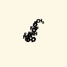 CCN1CCN(c2c(F)cc(Nc3ncc(C(F)(F)F)c(N4OCCC4c4ccccc4)n3)cc2F)CC1